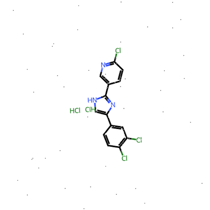 Cl.Cl.Clc1ccc(-c2nc(-c3ccc(Cl)c(Cl)c3)c[nH]2)cn1